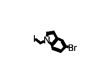 Brc1ccc2c(ccn2CI)c1